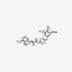 COc1cc(CN2CCN(CC(=O)N/N=C/c3cccc(C)c3O)CC2)cc(C)c1C